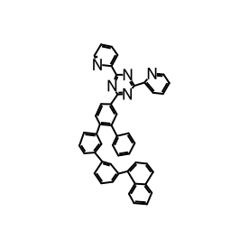 c1ccc(-c2cc(-c3nc(-c4ccccn4)nc(-c4ccccn4)n3)ccc2-c2cccc(-c3cccc(-c4cccc5ccccc45)c3)c2)cc1